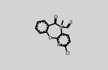 C[N+]1(C=S)C(=O)c2ccccc2Oc2nc(Cl)ccc21